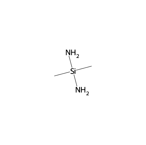 C[Si](C)(N)N